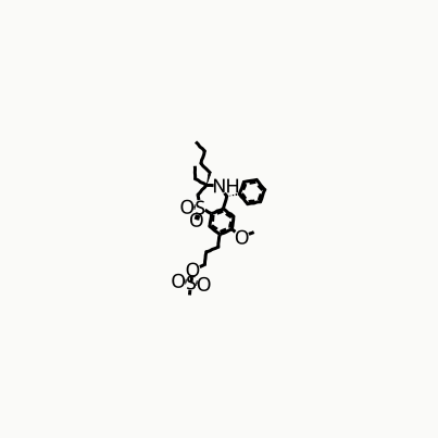 CCCC[C@]1(CC)CS(=O)(=O)c2cc(CCCOS(C)(=O)=O)c(OC)cc2[C@@H](c2ccccc2)N1